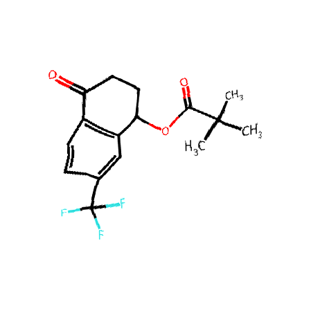 CC(C)(C)C(=O)OC1CCC(=O)c2ccc(C(F)(F)F)cc21